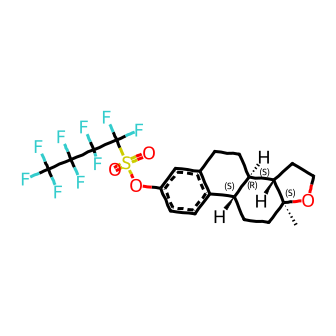 C[C@]12CC[C@@H]3c4ccc(OS(=O)(=O)C(F)(F)C(F)(F)C(F)(F)C(F)(F)F)cc4CC[C@H]3[C@@H]1CCO2